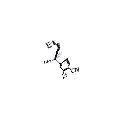 CC/C=C(\CCC)c1ccc(C#N)c(CC)c1